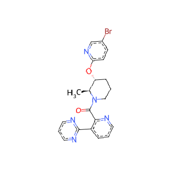 C[C@H]1[C@H](Oc2ccc(Br)cn2)CCCN1C(=O)c1ncccc1-c1ncccn1